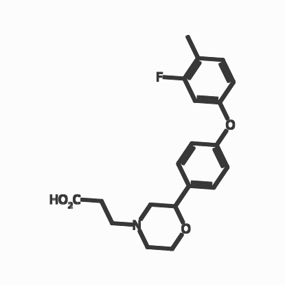 Cc1ccc(Oc2ccc(C3CN(CCC(=O)O)CCO3)cc2)cc1F